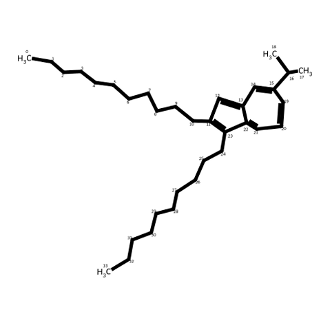 CCCCCCCCCCCc1cc2cc(C(C)C)cccc-2c1CCCCCCCCCC